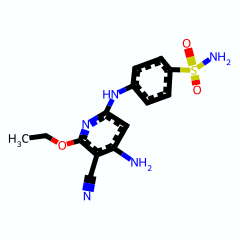 CCOc1nc(Nc2ccc(S(N)(=O)=O)cc2)cc(N)c1C#N